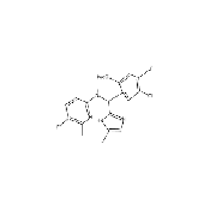 COc1cc(F)c(Cl)cc1C(Nc1ccc(F)c(C)n1)c1ncc(C)[nH]1